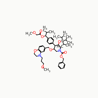 COCCCN1CCOc2ccc(COC3CN(C(=O)OCc4ccccc4)CC(O[Si](C(C)C)(C(C)C)C(C)C)C3c3ccc(C(OC(=O)COC)C(C)C)cc3)cc21